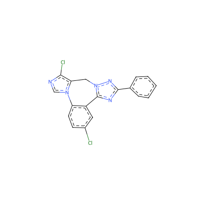 Clc1ccc2c(c1)-c1nc(-c3ccccc3)nn1Cc1c(Cl)ncn1-2